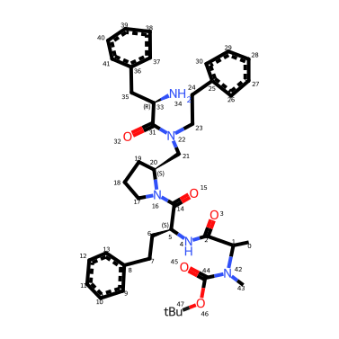 CC(C(=O)N[C@@H](CCc1ccccc1)C(=O)N1CCC[C@H]1CN(CCc1ccccc1)C(=O)[C@H](N)Cc1ccccc1)N(C)C(=O)OC(C)(C)C